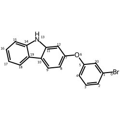 Brc1cccc(Oc2ccc3c(c2)[nH]c2ccccc23)c1